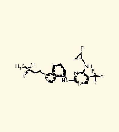 CS(=O)(=O)CCn1ncc2c(Nc3ncc(C(F)(F)F)c(N[C@H]4C[C@@H]4F)n3)cccc21